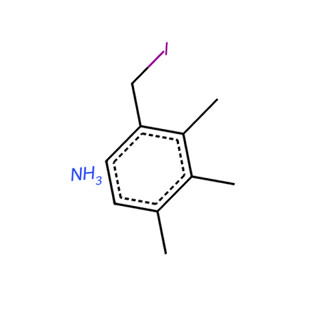 Cc1ccc(CI)c(C)c1C.N